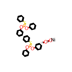 [C]=O.[C]=O.[Ni].c1ccc(OP(Oc2ccccc2)Sc2ccccc2)cc1.c1ccc(OP(Oc2ccccc2)Sc2ccccc2)cc1